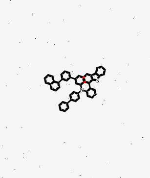 c1ccc(-c2ccc(N(c3cccc(-c4cccc(-c5cccc6ccccc56)c4)c3)c3ccccc3-c3cccc4c3sc3ccccc34)cc2)cc1